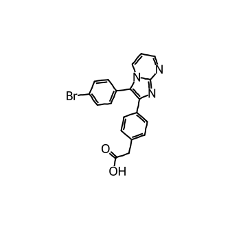 O=C(O)Cc1ccc(-c2nc3ncccn3c2-c2ccc(Br)cc2)cc1